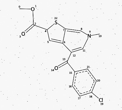 COC(=O)C1C=C2C(=CN(C)C=C2C(=O)c2ccc(Cl)cc2)S1